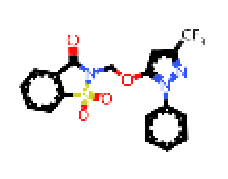 O=C1c2ccccc2S(=O)(=O)N1COc1cc(C(F)(F)F)nn1-c1ccccc1